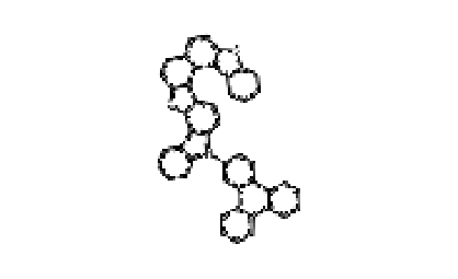 c1ccc2c(c1)sc1ccc3ccc4sc5c(ccc6c5c5ccccc5n6-c5ccc6c7ccccc7c7ccccc7c6c5)c4c3c12